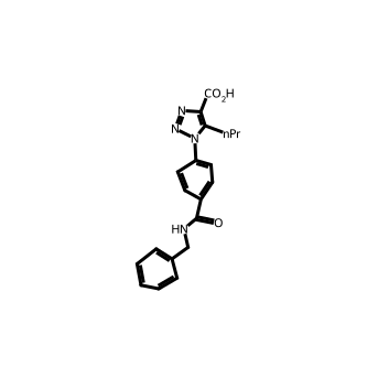 CCCc1c(C(=O)O)nnn1-c1ccc(C(=O)NCc2ccccc2)cc1